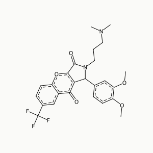 COc1ccc(C2c3c(oc4ccc(C(F)(F)F)cc4c3=O)C(=O)N2CCCN(C)C)cc1OC